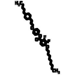 CCCCCCCCCCOc1ccc(C(=O)Oc2ccc(OCC=CC3CCC(CCCCC)CC3)cc2)c(F)c1F